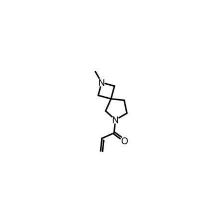 C=CC(=O)N1CCC2(CN(C)C2)C1